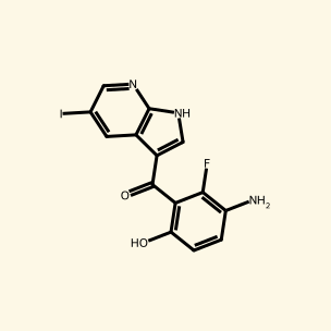 Nc1ccc(O)c(C(=O)c2c[nH]c3ncc(I)cc23)c1F